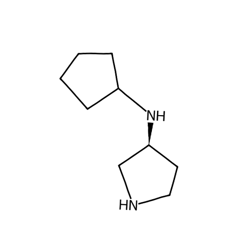 C1CCC(N[C@H]2CCNC2)C1